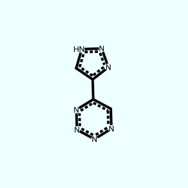 c1nnnnc1-c1c[nH]nn1